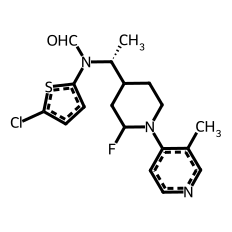 Cc1cnccc1N1CCC([C@@H](C)N(C=O)c2ccc(Cl)s2)CC1F